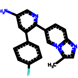 Cc1cnc2ccc(-c3ncc(N)cc3-c3ccc(F)cc3)cn12